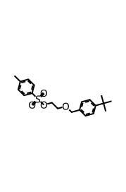 Cc1ccc(S(=O)(=O)OCCOCc2ccc(C(C)(C)C)cc2)cc1